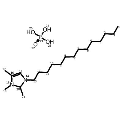 CCCCCCCCCCCCCCN1C=C(C)N(C)C1C.O=P(O)(O)O